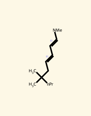 CCCC(C)(C)C/C=C/C=C/NC